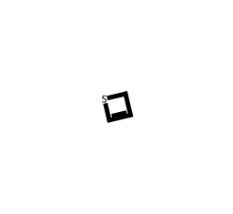 C1=CSC1